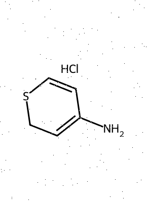 Cl.NC1=CCSC=C1